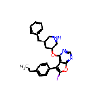 CCc1ccc(-c2c(I)oc3ncnc(OC4CNC[C@H](Cc5ccccc5)C4)c23)cc1